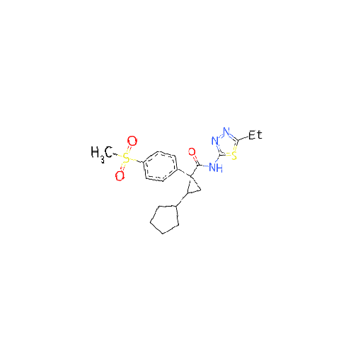 CCc1nnc(NC(=O)C2(c3ccc(S(C)(=O)=O)cc3)CC2C2CCCC2)s1